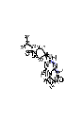 C=N/C(=N\C(NC1CCC1)=C(/C)C(N)=O)NC1CCN(C(=O)CC(C)C)CC1